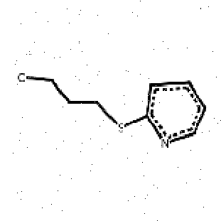 [O]CCCSc1ccccn1